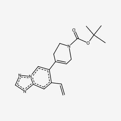 C=Cc1cc2ncnn2cc1C1=CCN(C(=O)OC(C)(C)C)CC1